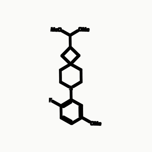 COc1ccc(F)c(N2CCC3(CC2)CC(C(OC)OC)C3)c1